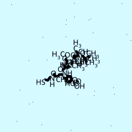 CC[C@H](C)[C@H](NC(=O)[C@@H](C(C)C)N(C)C)C(=O)N(C)[C@H](C[C@@H](OC(C)=O)c1nc(C(=O)N[C@@H](Cc2ccc(OP(=O)(O)O)cc2)CC(C)C(=O)NCCCS)cs1)C(C)C